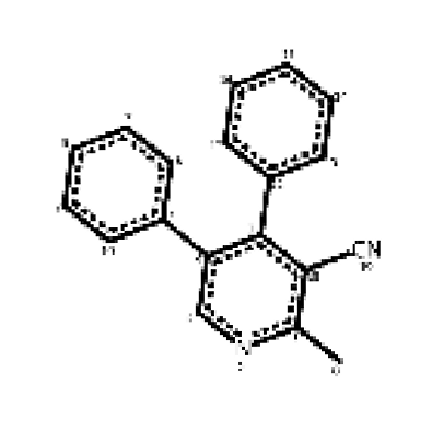 Cc1ncc(-c2ccccc2)c(-c2ccccc2)c1C#N